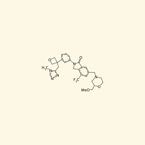 COCC1CN(Cc2cc3c(c(C(F)(F)F)c2)CN(c2cccc(C4(Cc5nncn5C)COC4)c2)C3=O)CCO1